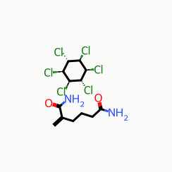 C=C(CCCC(N)=O)C(N)=O.Cl[C@H]1[C@H](Cl)[C@@H](Cl)[C@@H](Cl)[C@H](Cl)[C@H]1Cl